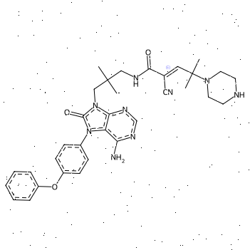 CC(C)(CNC(=O)/C(C#N)=C/C(C)(C)N1CCNCC1)Cn1c(=O)n(-c2ccc(Oc3ccccc3)cc2)c2c(N)ncnc21